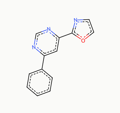 c1ccc(-c2cc(-c3ncco3)ncn2)cc1